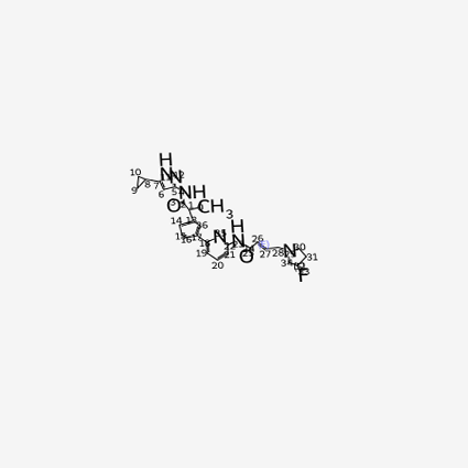 CC(C(=O)Nc1cc(C2CC2)[nH]n1)c1cccc(-c2cccc(NC(=O)/C=C/CN3CC[C@H](F)C3)n2)c1